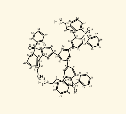 CCCCc1cc(-c2cc(-c3ccc(P(=O)(c4ccccc4)c4ccccc4)c(CCCC)c3)nc(-c3ccc(P(=O)(c4ccccc4)c4ccccc4)c(CCCC)c3)c2)ccc1P(=O)(c1ccccc1)c1ccccc1